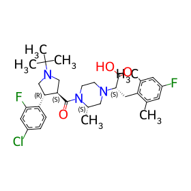 Cc1cc(F)cc(C)c1C[C@@H](C(=O)O)N1CCN(C(=O)[C@@H]2CN(C(C)(C)C)C[C@H]2c2ccc(Cl)cc2F)[C@@H](C)C1